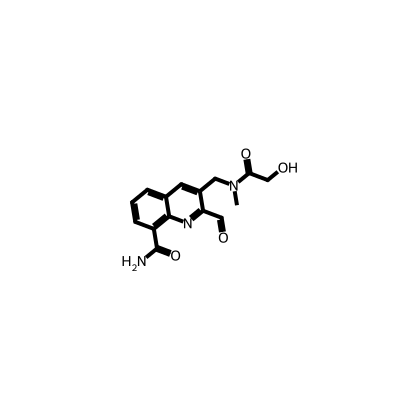 CN(Cc1cc2cccc(C(N)=O)c2nc1C=O)C(=O)CO